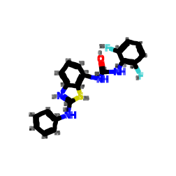 O=C(Nc1c(F)cccc1F)Nc1cccc2nc(Nc3ccccc3)sc12